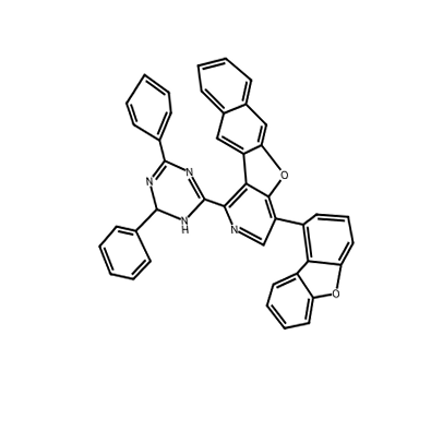 c1ccc(C2=NC(c3ccccc3)NC(c3ncc(-c4cccc5oc6ccccc6c45)c4oc5cc6ccccc6cc5c34)=N2)cc1